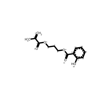 C=C(C)C(=O)OCCCOC(=O)c1ccccc1O